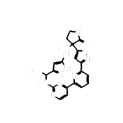 Cc1cc(C(C)Nc2nccc(-c3cccc(-c4cc(C5(O)CCN(C)C5=O)on4)n3)n2)n[nH]1